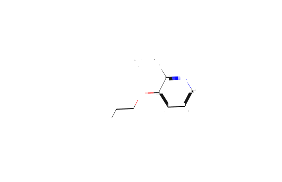 CNc1ncccc1OCCC=O